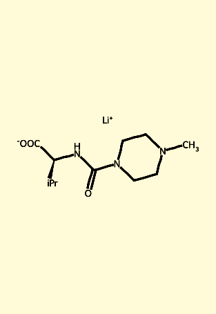 CC(C)[C@H](NC(=O)N1CCN(C)CC1)C(=O)[O-].[Li+]